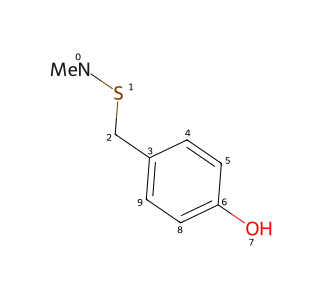 CNSCc1ccc(O)cc1